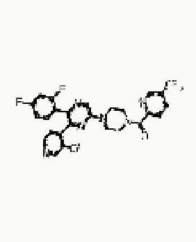 O=C(c1ccc(C(F)(F)F)cn1)N1CCN(c2cnc(-c3ccc(F)cc3F)c(-c3ccncc3Cl)n2)CC1